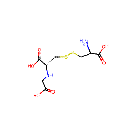 NC(CSSC[C@H](NCC(=O)O)C(=O)O)C(=O)O